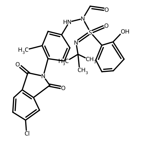 Cc1cc(NN(C=O)S(=O)(=NC(C)(C)C)c2ccccc2O)ccc1N1C(=O)c2ccc(Cl)cc2C1=O